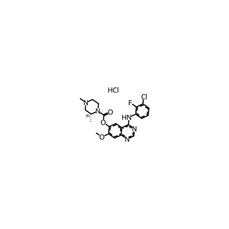 COc1cc2ncnc(Nc3cccc(Cl)c3F)c2cc1OC(=O)N1CCN(C)C[C@H]1C.Cl